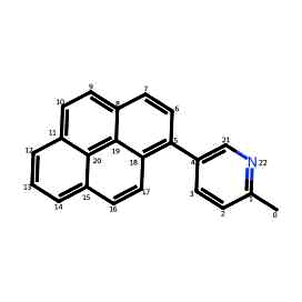 Cc1ccc(-c2ccc3ccc4cccc5ccc2c3c45)cn1